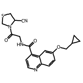 N#CC1CSCN1C(=O)CNC(=O)c1ccnc2ccc(OCC3CC3)cc12